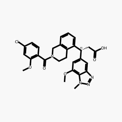 COc1cc(Cl)ccc1C(=O)N1CCc2c(cccc2[C@H](CC(=O)O)c2cc(OC)c3c(c2)nnn3C)C1